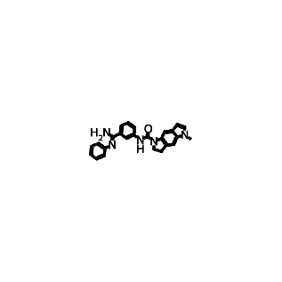 Cn1ccc2cc3c(cc21)CCN3C(=O)Nc1cccc(C(N)=Nc2ccccc2)c1